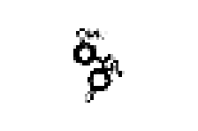 COc1cccc(C(C)C2(N(C)C)CCC(=O)CC2)c1